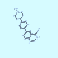 CCN1CCC(c2ccc(-c3ccc4nc[nH]c(=O)c4c3)cc2)CC1